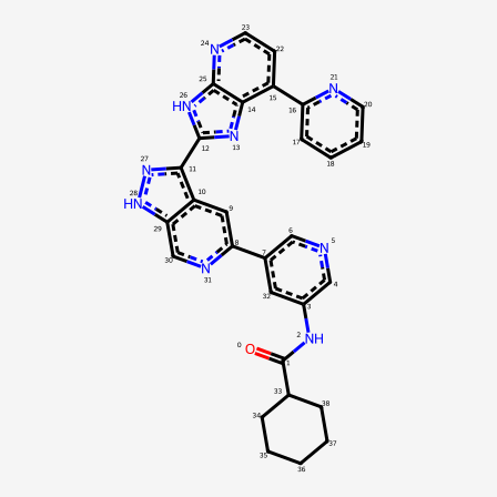 O=C(Nc1cncc(-c2cc3c(-c4nc5c(-c6ccccn6)ccnc5[nH]4)n[nH]c3cn2)c1)C1CCCCC1